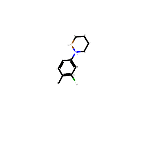 Cc1ccc(N2CCCCS2)cc1F